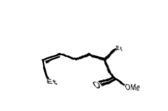 CC/C=C\CCC(CC)C(=O)OC